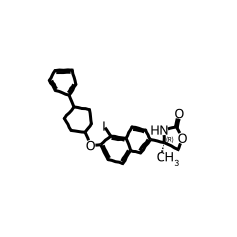 C[C@@]1(c2ccc3c(I)c(OC4CCC(c5ccccc5)CC4)ccc3c2)COC(=O)N1